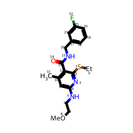 CCSc1nc(NCCOC)cc(C)c1C(=O)NCc1cccc(F)c1